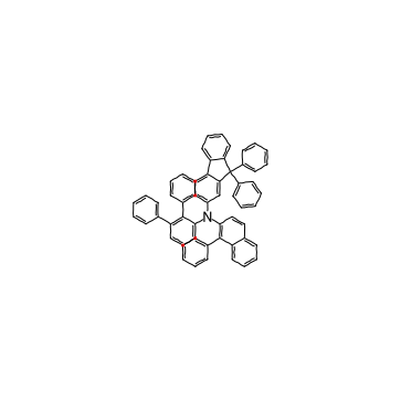 c1ccc(-c2cccc(N(c3ccc4c(c3)C(c3ccccc3)(c3ccccc3)c3ccccc3-4)c3ccc4ccccc4c3-c3ccccc3)c2-c2ccccc2)cc1